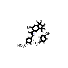 CCc1cc2c(cc1/C(C)=C/c1ccc(C(=O)O)cc1)C(C)(C)C(C)C2(C)C.Nc1ccc(O)cc1